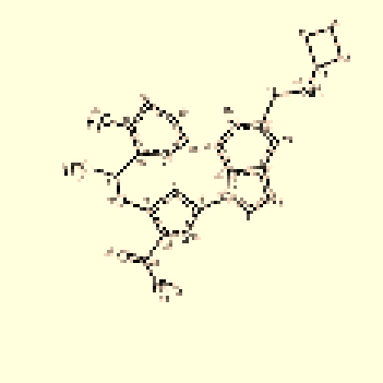 CC(Oc1cc(-n2cnc3cc(CNC4CCC4)ncc32)sc1C(N)=O)c1ccccc1C(F)(F)F